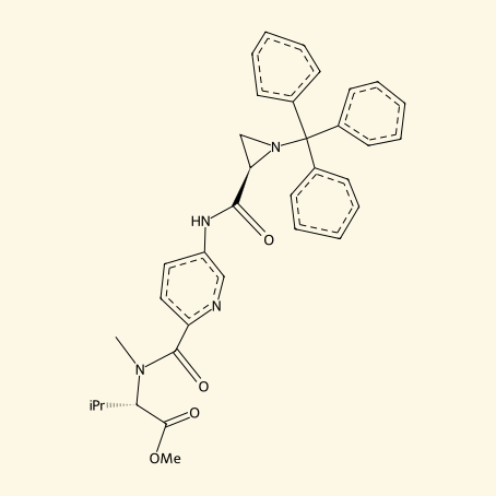 COC(=O)[C@H](C(C)C)N(C)C(=O)c1ccc(NC(=O)[C@H]2CN2C(c2ccccc2)(c2ccccc2)c2ccccc2)cn1